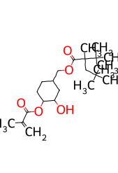 C=C(C)C(=O)OC1CCC(COC(=O)C(C)(CC(C)(C)C)C(C)(C)C)CC1O